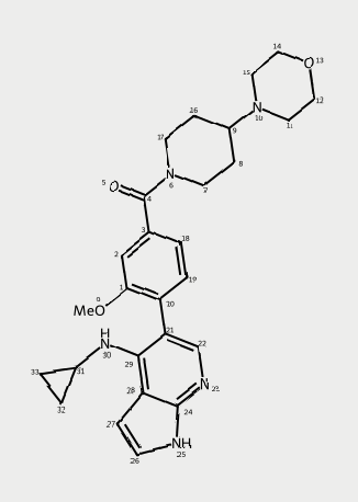 COc1cc(C(=O)N2CCC(N3CCOCC3)CC2)ccc1-c1cnc2[nH]ccc2c1NC1CC1